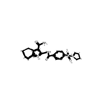 NC(=O)c1c(NC(=O)c2ccc(S(=O)(=O)N3CCCC3)cc2)sc2c1CCCC2